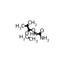 C=C.C=C(C)C(=O)ONC(N)=O